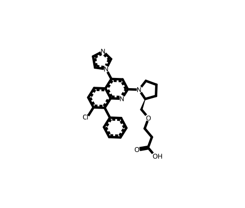 O=C(O)CCOC[C@@H]1CCCN1c1cc(-n2ccnc2)c2ccc(Cl)c(-c3ccccc3)c2n1